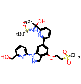 CCCC(O)(N[S@+]([O-])C(C)(C)C)c1cccc(-c2cc(OCCS(C)(=O)=O)c3cnn(-c4cccc(CO)n4)c3c2)n1